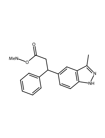 CNOC(=O)CC(c1ccccc1)c1ccc2[nH]nc(C)c2c1